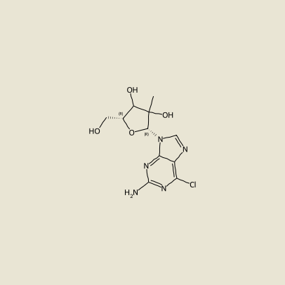 CC1(O)C(O)[C@@H](CO)O[C@H]1n1cnc2c(Cl)nc(N)nc21